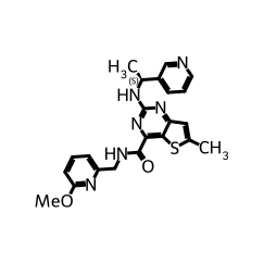 COc1cccc(CNC(=O)c2nc(N[C@@H](C)c3cccnc3)nc3cc(C)sc23)n1